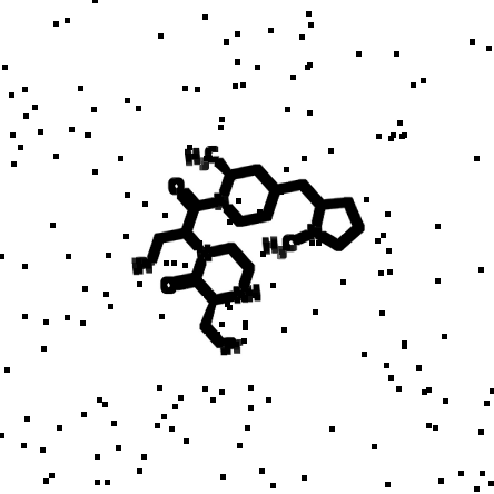 CC(C)CC(C(=O)N1CCC(CC2CCCN2C)C[C@@H]1C)N1CCN[C@@H](CC(C)C)C1=O